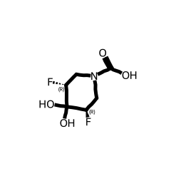 O=C(O)N1C[C@@H](F)C(O)(O)[C@H](F)C1